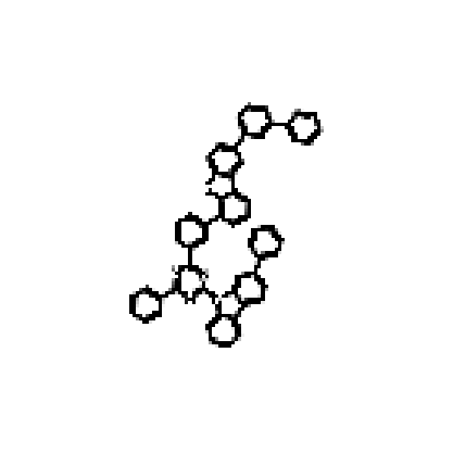 c1ccc(-c2cccc(-c3ccc4sc5c(-c6cccc(-c7nc(-c8ccccc8)nc(-n8c9ccccc9c9ccc(-c%10ccccc%10)cc98)n7)c6)cccc5c4c3)c2)cc1